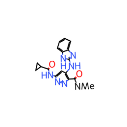 CNC(=O)c1nnc(NC(=O)C2CC2)cc1Nc1nc2ccccc2[nH]1